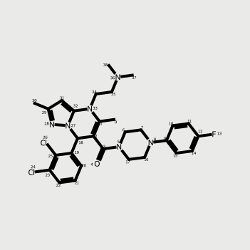 CC1=C(C(=O)N2CCN(c3ccc(F)cc3)CC2)C(c2cccc(Cl)c2Cl)n2nc(C)cc2N1CCN(C)C